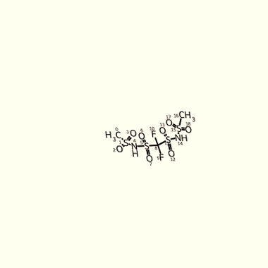 CS(=O)(=O)NS(=O)(=O)C(F)(F)S(=O)(=O)NS(C)(=O)=O